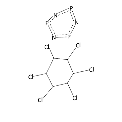 ClC1C(Cl)C(Cl)C(Cl)C(Cl)C1Cl.n1pnpnp1